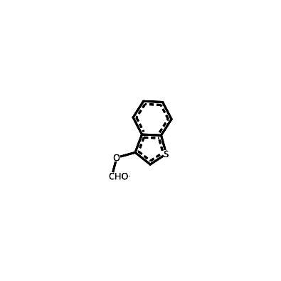 O=[C]Oc1csc2ccccc12